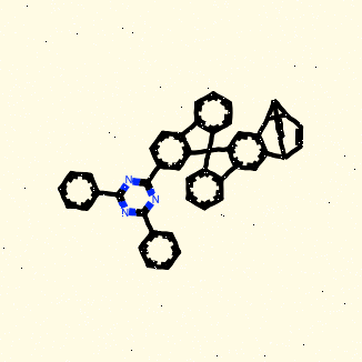 C1=CC2C3C=CC1c1cc4c(cc1C23)C1(c2ccccc2-c2ccc(-c3nc(-c5ccccc5)nc(-c5ccccc5)n3)cc21)c1ccccc1-4